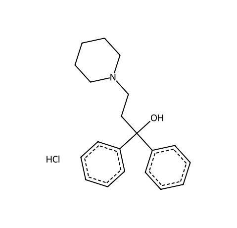 Cl.OC(CCN1CCCCC1)(c1ccccc1)c1ccccc1